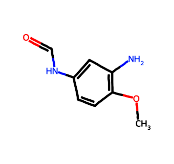 COc1ccc(NC=O)cc1N